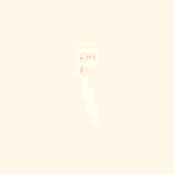 CCCCCCCCCCCCCCCCOC=CCC(C)O